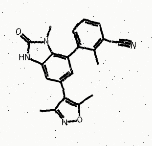 Cc1noc(C)c1-c1cc(-c2cccc(C#N)c2C)c2c(c1)[nH]c(=O)n2C